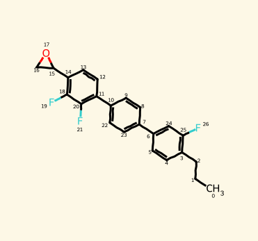 CCCc1ccc(-c2ccc(-c3ccc(C4CO4)c(F)c3F)cc2)cc1F